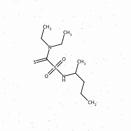 [CH2]CCC(C)NS(=O)(=O)C(=S)N(CC)CC